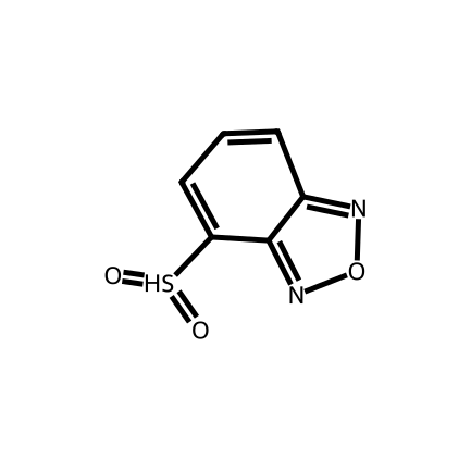 O=[SH](=O)c1cccc2nonc12